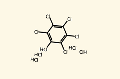 Cl.Cl.Cl.Cl.Oc1c(Cl)c(Cl)c(Cl)c(Cl)c1Cl